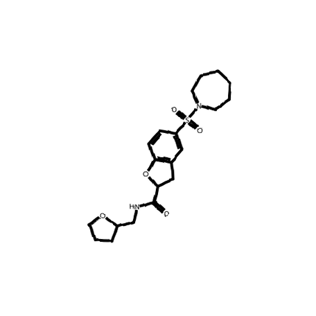 O=C(NCC1CCCO1)C1Cc2cc(S(=O)(=O)N3CCCCCC3)ccc2O1